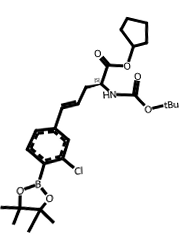 CC(C)(C)OC(=O)N[C@@H](CC=Cc1ccc(B2OC(C)(C)C(C)(C)O2)c(Cl)c1)C(=O)OC1CCCC1